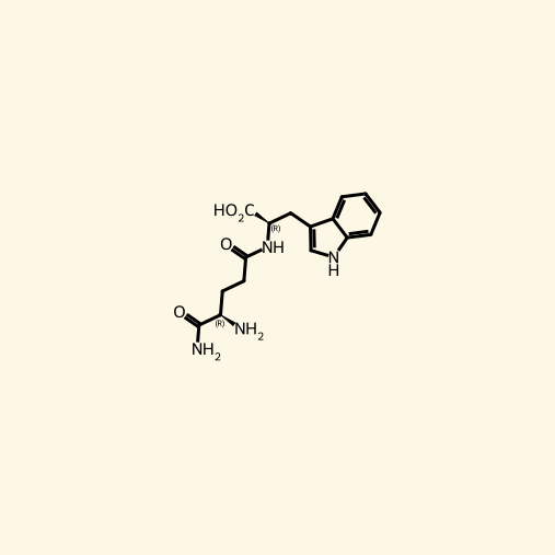 NC(=O)[C@H](N)CCC(=O)N[C@H](Cc1c[nH]c2ccccc12)C(=O)O